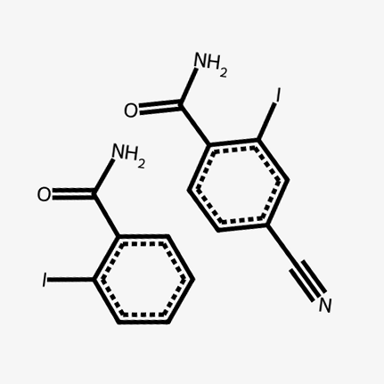 N#Cc1ccc(C(N)=O)c(I)c1.NC(=O)c1ccccc1I